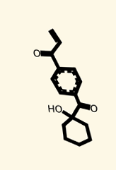 C=CC(=O)c1ccc(C(=O)C2(O)CCCCC2)cc1